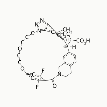 Cc1c2ccc3c1nnn3CCCOCCOc1cc(F)c(c(F)c1)C(=O)N1CCc3ccc(cc3C1)[C@@H]2[C@@H](C)C(=O)O